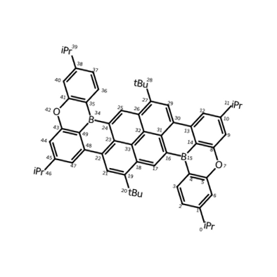 CC(C)c1ccc2c(c1)Oc1cc(C(C)C)cc3c1B2c1cc2c(C(C)(C)C)cc4c5c(cc6c(C(C)(C)C)cc-3c1c6c25)B1c2ccc(C(C)C)cc2Oc2cc(C(C)C)cc-4c21